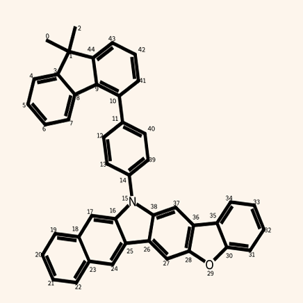 CC1(C)c2ccccc2-c2c(-c3ccc(-n4c5cc6ccccc6cc5c5cc6oc7ccccc7c6cc54)cc3)cccc21